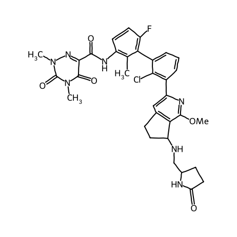 COc1nc(-c2cccc(-c3c(F)ccc(NC(=O)c4nn(C)c(=O)n(C)c4=O)c3C)c2Cl)cc2c1C(NCC1CCC(=O)N1)CC2